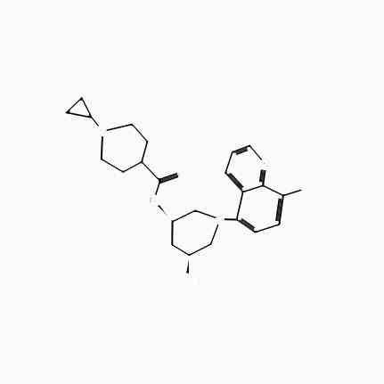 C[C@H]1C[C@@H](NC(=O)C2CCN(C3CC3)CC2)CN(c2ccc(C(F)(F)F)c3ncccc23)C1